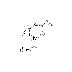 CCCCCC[n+]1cccc(C)c1.[C-]#N